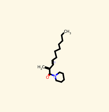 C=C(/C=C/CCCCCCC)C(=O)N1CCCCC1